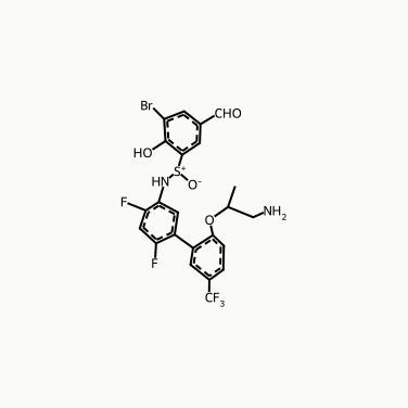 CC(CN)Oc1ccc(C(F)(F)F)cc1-c1cc(N[S+]([O-])c2cc(C=O)cc(Br)c2O)c(F)cc1F